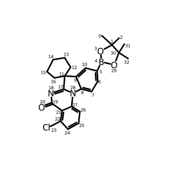 CC1(C)OB(c2ccc3c(c2)C2(CCCCC2)c2nc(=O)c4c(Cl)cccc4n2-3)OC1(C)C